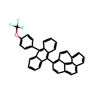 FC(F)(F)Oc1ccc(-c2c3ccccc3c(-c3ccc4ccc5cccc6ccc3c4c56)c3ccccc23)cc1